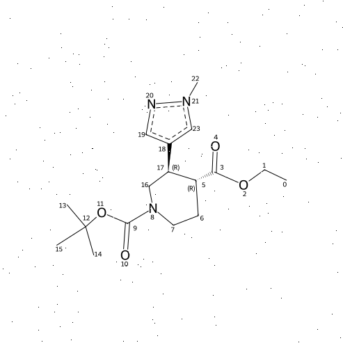 CCOC(=O)[C@@H]1CCN(C(=O)OC(C)(C)C)C[C@H]1c1cnn(C)c1